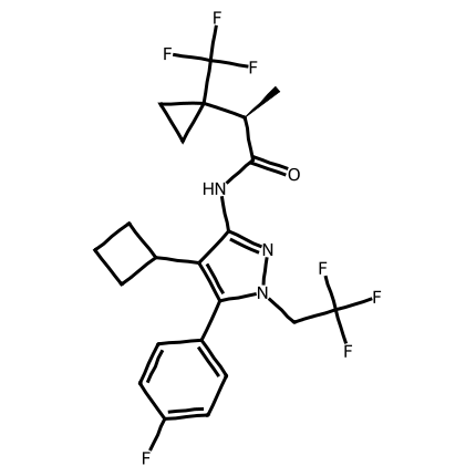 C[C@@H](C(=O)Nc1nn(CC(F)(F)F)c(-c2ccc(F)cc2)c1C1CCC1)C1(C(F)(F)F)CC1